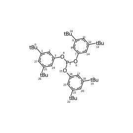 CC(C)(C)c1cc(OP(Oc2cc(C(C)(C)C)cc(C(C)(C)C)c2)Oc2cc(C(C)(C)C)cc(C(C)(C)C)c2)cc(C(C)(C)C)c1